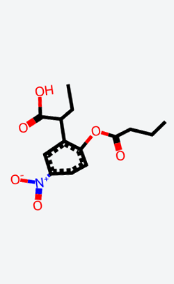 CCCC(=O)Oc1ccc([N+](=O)[O-])cc1C(CC)C(=O)O